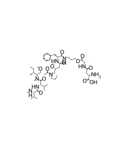 CC[C@H](C)[C@@H]([C@@H](CC(=O)N1CCC[C@H]1[C@H](OC)[C@@H](C)C(=O)N[C@@H](Cc1ccccc1)C(=O)NCCCOC(=O)[C@H](C)NC(=O)CC(N)C(=O)O)OC)N(C)C(=O)[C@@H](NC(=O)[C@@H](NC)C(C)C)C(C)C